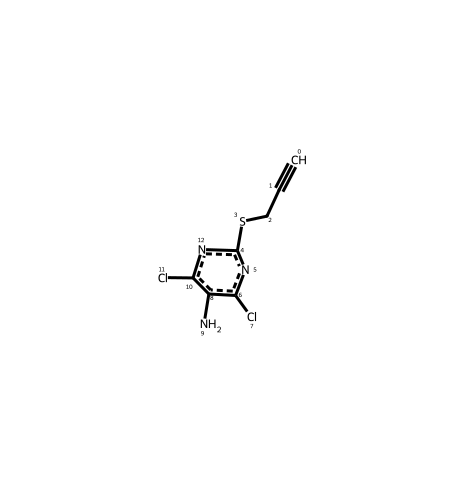 C#CCSc1nc(Cl)c(N)c(Cl)n1